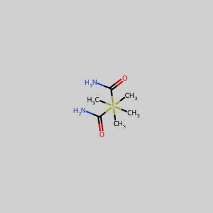 CS(C)(C)(C)(C(N)=O)C(N)=O